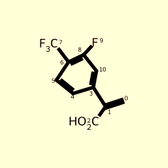 C=C(C(=O)O)c1ccc(C(F)(F)F)c(F)c1